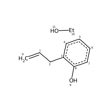 C=CCc1ccccc1O.CCO